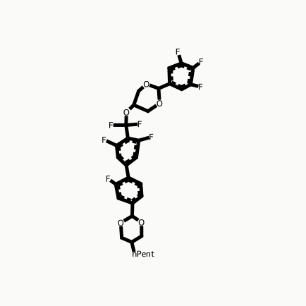 CCCCCC1COC(c2ccc(-c3cc(F)c(C(F)(F)OC4COC(c5cc(F)c(F)c(F)c5)OC4)c(F)c3)c(F)c2)OC1